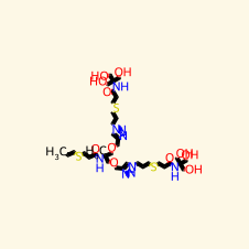 CCCSCCC(=O)NC(C)(COCc1cn(CCCSCCC(=O)NC(CO)(CO)CO)nn1)COCc1cn(CCCSCCC(=O)NC(CO)(CO)CO)nn1